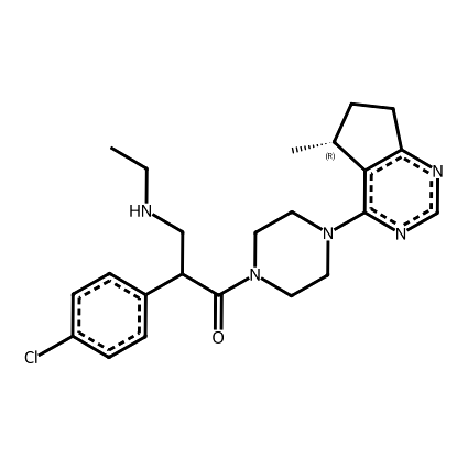 CCNCC(C(=O)N1CCN(c2ncnc3c2[C@H](C)CC3)CC1)c1ccc(Cl)cc1